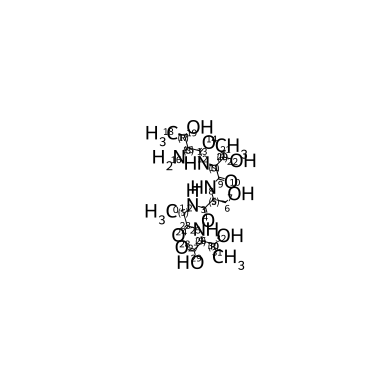 C[C@H](NC(=O)[C@H](CO)NC(=O)[C@@H](NC(=O)[C@@H](N)[C@@H](C)O)[C@@H](C)O)C(=O)N[C@H](C(=O)O)[C@@H](C)O